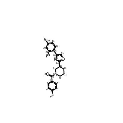 O=C(c1ccc(F)cc1)N1CCCC(c2nc(-c3ccc(F)cc3F)co2)C1